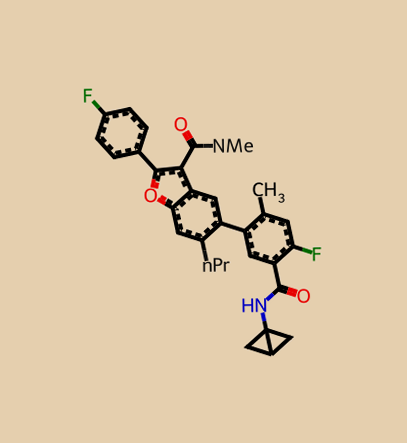 CCCc1cc2oc(-c3ccc(F)cc3)c(C(=O)NC)c2cc1-c1cc(C(=O)NC23CC2C3)c(F)cc1C